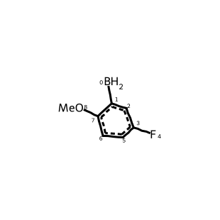 Bc1cc(F)ccc1OC